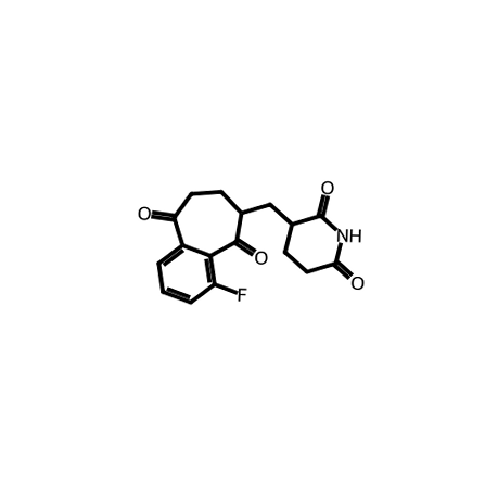 O=C1CCC(CC2CCC(=O)c3cccc(F)c3C2=O)C(=O)N1